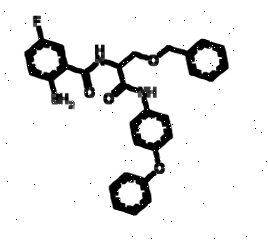 Bc1ccc(F)cc1C(=O)NC(COCc1ccccc1)C(=O)Nc1ccc(Oc2ccccc2)cc1